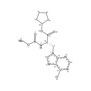 CC(C)(C)OC(=O)N[C@@H](Cn1cnc2c(Cl)ncnc21)C(=O)OC1CCCC1